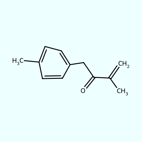 C=C(C)C(=O)Cc1ccc(C)cc1